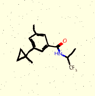 Cc1cc(C(=O)NC(C)C(F)(F)F)cc(C2(C)CC2)c1